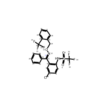 O=S(=O)(Nc1ccc(Cl)cc1/C(=N/OCc1ccccc1C(F)(F)F)c1ccccc1)C(F)(F)F